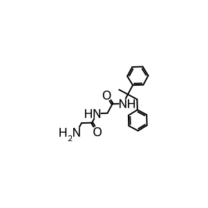 CC(Cc1ccccc1)(NC(=O)CNC(=O)CN)c1ccccc1